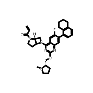 C=CC(=O)N1CCC2[C@H]1CN2c1nc(OC[C@@H]2CCCN2C)nc2cc(-c3cccc4c3CCCC4)c(F)cc12